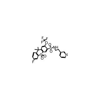 CC1(C)c2ccc(F)cc2S(=O)(=O)c2cc(S(=O)(=O)NCCc3cccnc3)c(OC(F)(F)F)cc21